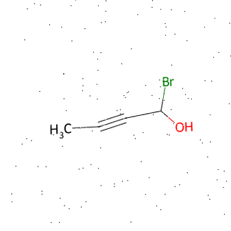 CC#CC(O)Br